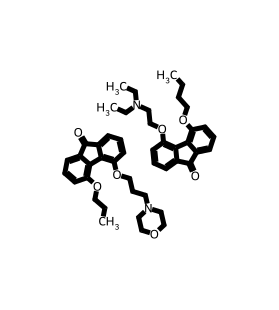 CCCCOc1cccc2c1-c1c(OCCN(CC)CC)cccc1C2=O.CCCOc1cccc2c1-c1c(OCCCN3CCOCC3)cccc1C2=O